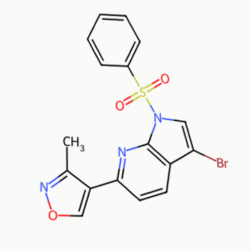 Cc1nocc1-c1ccc2c(Br)cn(S(=O)(=O)c3ccccc3)c2n1